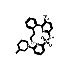 CC1CCCN(c2cccc(S(=O)(=O)Nc3ccc(C(F)(F)F)c(-c4ccccc4CCO)n3)n2)C1